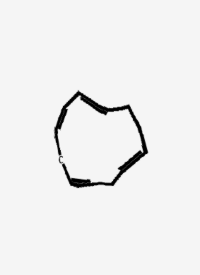 [C]1=C/CC/C=C/C/C=C\C\C=C/1